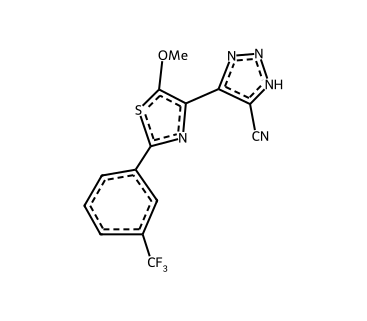 COc1sc(-c2cccc(C(F)(F)F)c2)nc1-c1nn[nH]c1C#N